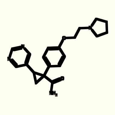 NC(=O)C1(c2ccc(OCCN3CCCC3)cc2)CC1c1cncnc1